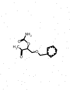 CC(=O)C(COCc1ccccc1)OC(N)=O